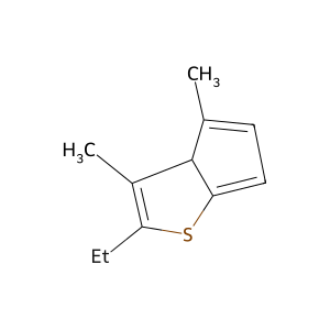 CCC1=C(C)C2C(C)=CC=C2S1